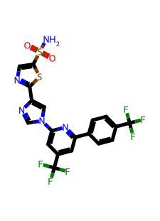 NS(=O)(=O)c1cnc(-c2cn(-c3cc(C(F)(F)F)cc(-c4ccc(C(F)(F)F)cc4)n3)cn2)s1